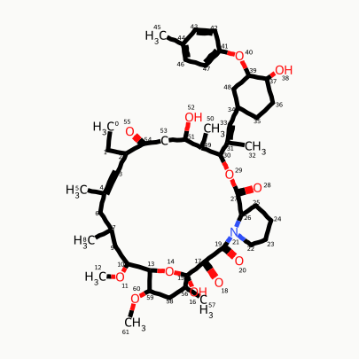 CCC1/C=C(\C)CC(C)CC(OC)C2OC(O)(C(=O)C(=O)N3CCCCC3C(=O)OC(C(C)=CC3CCC(O)C(Oc4ccc(C)cc4)C3)C(C)C(O)CC1=O)C(C)CC2OC